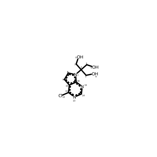 OCC(CO)(CO)n1ccc2c(Cl)ncnc21